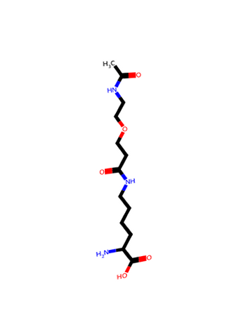 CC(=O)NCCOCCC(=O)NCCCCC(N)C(=O)O